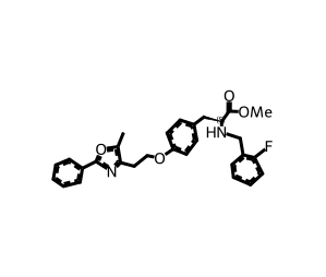 COC(=O)[C@H](Cc1ccc(OCCc2nc(-c3ccccc3)oc2C)cc1)NCc1ccccc1F